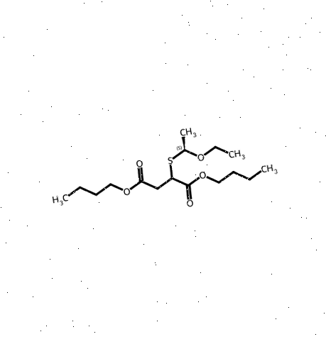 CCCCOC(=O)CC(S[C@@H](C)OCC)C(=O)OCCCC